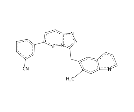 Cc1cc2ncccc2cc1Cc1nnc2ccc(-c3cccc(C#N)c3)nn12